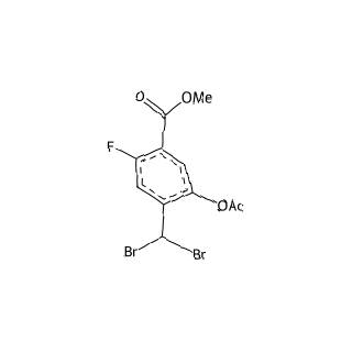 COC(=O)c1cc(OC(C)=O)c(C(Br)Br)cc1F